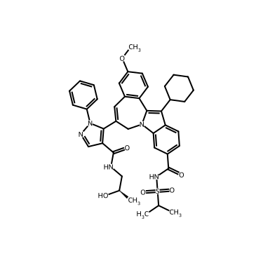 COc1ccc2c(c1)C=C(c1c(C(=O)NC[C@@H](C)O)cnn1-c1ccccc1)Cn1c-2c(C2CCCCC2)c2ccc(C(=O)NS(=O)(=O)C(C)C)cc21